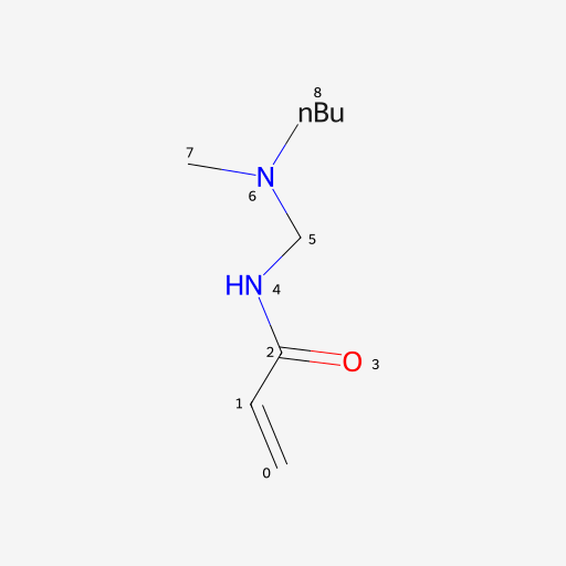 C=CC(=O)NCN(C)CCCC